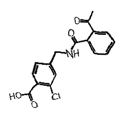 CC(=O)c1ccccc1C(=O)NCc1ccc(C(=O)O)c(Cl)c1